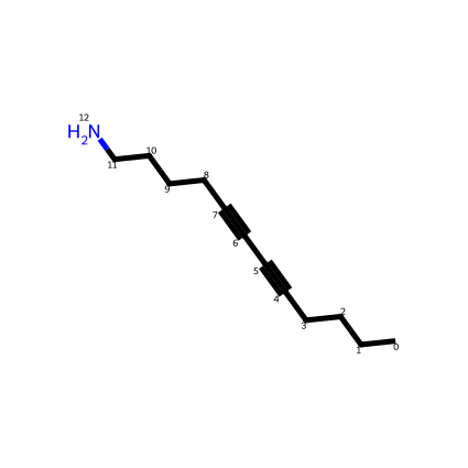 CCCCC#CC#CCCCCN